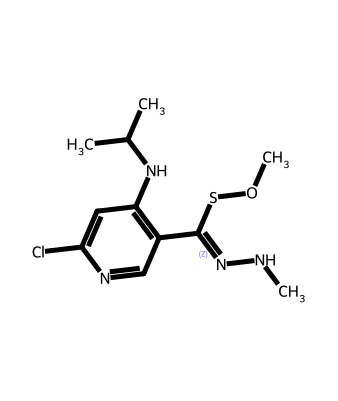 CN/N=C(\SOC)c1cnc(Cl)cc1NC(C)C